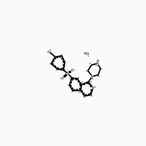 Cl.O=S(=O)(c1ccc(Cl)cc1)c1ccc2ccnc(N3CCNCC3)c2c1